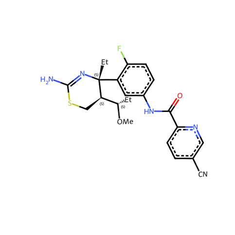 CC[C@H](OC)[C@H]1CSC(N)=N[C@]1(CC)c1cc(NC(=O)c2ccc(C#N)cn2)ccc1F